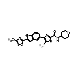 Cc1noc(-c2cc3cc(-c4nc(C(=O)NC5CCOCC5)[nH]c4C)ccc3[nH]2)n1